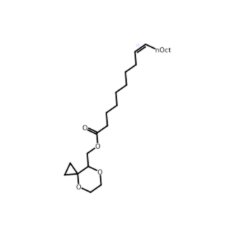 CCCCCCCC/C=C\CCCCCCCC(=O)OCC1OCCOC12CC2